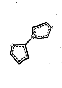 [c]1ccc(-n2ccnc2)o1